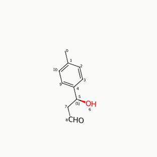 Cc1ccc([C@@H](O)CC=O)cc1